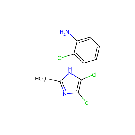 Nc1ccccc1Cl.O=C(O)c1nc(Cl)c(Cl)[nH]1